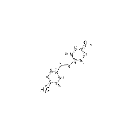 Cc1cnc(C=Cc2ccc(C)nc2)nc1